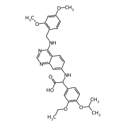 CCOc1cc(C(Nc2ccc3c(NCc4ccc(OC)cc4OC)ncnc3c2)C(=O)O)ccc1OC(C)C